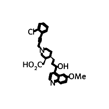 COc1ccc2nccc(C(O)CC[C@@H]3CCN(CC#Cc4ccccc4Cl)C[C@@H]3CC(=O)O)c2c1